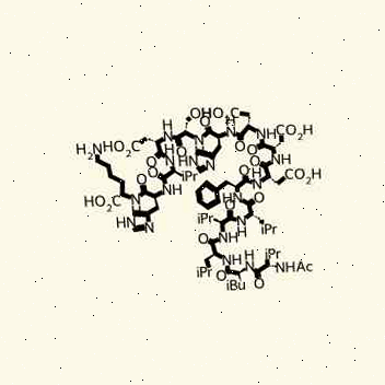 CC[C@H](C)[C@H](NC(=O)[C@@H](NC(C)=O)C(C)C)C(=O)N[C@@H](CC(C)C)C(=O)N[C@H](C(=O)N[C@@H](CC(C)C)C(=O)N[C@@H](Cc1ccccc1)C(=O)N[C@@H](CC(=O)O)C(=O)N[C@@H](CC(=O)O)C(=O)N[C@@H](CC(=O)O)C(=O)N[C@@H](Cc1c[nH]cn1)C(=O)N[C@@H](CO)C(=O)N[C@@H](CC(=O)O)C(=O)N[C@H](C(=O)N[C@@H](Cc1c[nH]cn1)C(=O)N[C@@H](CCCCN)C(=O)O)C(C)C)C(C)C